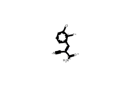 N#C/C(=C\c1cccc(Cl)c1F)C(N)=O